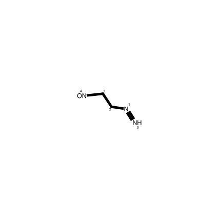 N=NCCN=O